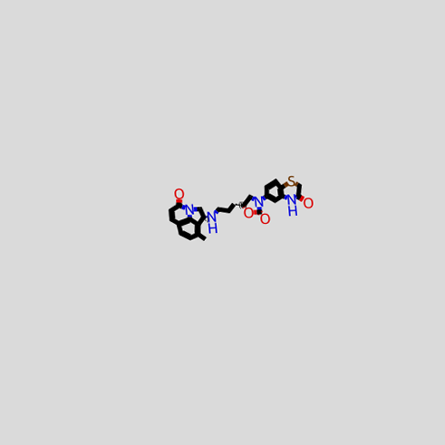 Cc1ccc2ccc(=O)n3c2c1[C@@H](NCCC[C@@H]1CN(c2ccc4c(c2)NC(=O)CS4)C(=O)O1)C3